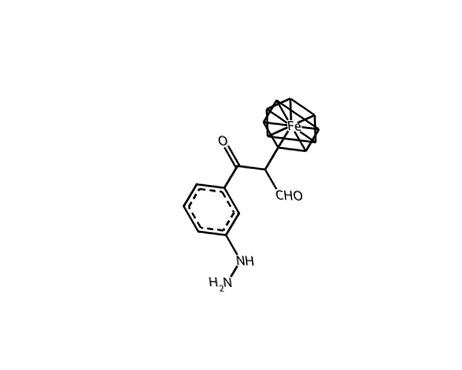 NNc1cccc(C(=O)C(C=O)[C]23[CH]4[CH]5[CH]6[CH]2[Fe]56432789[CH]3[CH]2[CH]7[CH]8[CH]39)c1